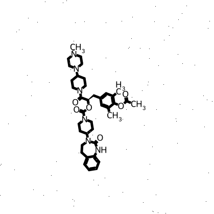 CC(=O)Oc1c(C)cc(C[C@@H](OC(=O)N2CCC(N3CCc4ccccc4NC3=O)CC2)C(=O)N2CCC(N3CCN(C)CC3)CC2)cc1C